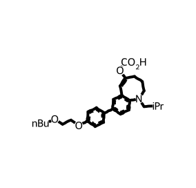 CCCCOCCOc1ccc(-c2ccc3c(c2)/C=C(/OC(=O)O)CCCN3CC(C)C)cc1